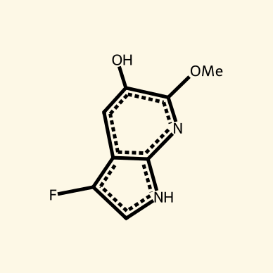 COc1nc2[nH]cc(F)c2cc1O